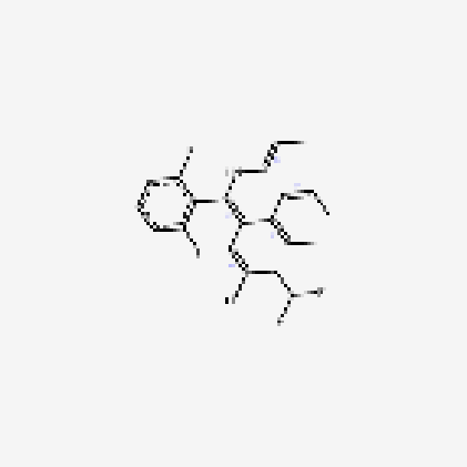 C\C=C/C(=C\C)C(/C=C(/Cl)CC(F)F)=C(\N/C=C/C)c1c(F)cccc1F